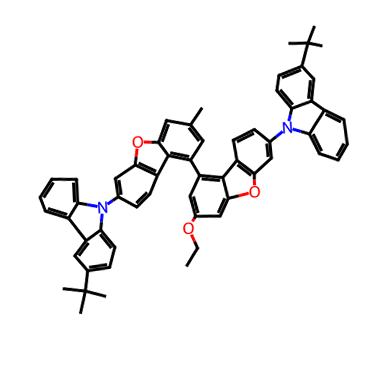 CCOc1cc(-c2cc(C)cc3oc4cc(-n5c6ccccc6c6cc(C(C)(C)C)ccc65)ccc4c23)c2c(c1)oc1cc(-n3c4ccccc4c4cc(C(C)(C)C)ccc43)ccc12